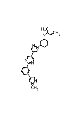 C=CC(=C)NC1CCCC(n2cc(-c3cnc(-c4cccc(-c5cnn(C)c5)c4)nc3)cn2)C1